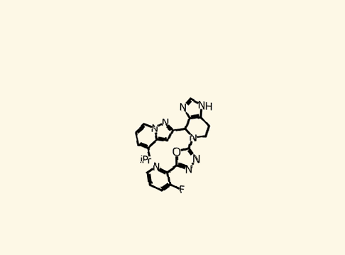 CC(C)c1cccn2nc(C3c4nc[nH]c4CCN3c3nnc(-c4ncccc4F)o3)cc12